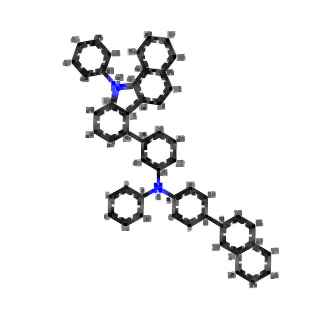 c1ccc(N(c2ccc(-c3ccc4ccccc4c3)cc2)c2cccc(-c3cccc4c3c3ccc5ccccc5c3n4-c3ccccc3)c2)cc1